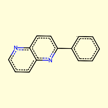 [c]1ccccc1-c1ccc2ncccc2n1